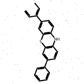 C=C/C(=C\C)c1ccc2c(c1)Sc1cc(-c3ccccc3)ccc1N2